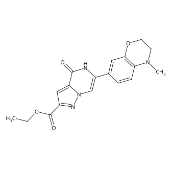 CCOC(=O)c1cc2c(=O)[nH]c(-c3ccc4c(c3)OCCN4C)cn2n1